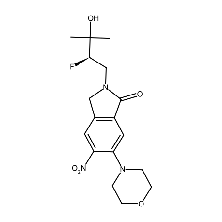 CC(C)(O)[C@H](F)CN1Cc2cc([N+](=O)[O-])c(N3CCOCC3)cc2C1=O